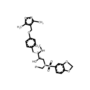 Cc1noc(C)c1COc1ccc(C[C@H](NC(=O)O)[C@H](O)CN(CC(C)C)S(=O)(=O)c2ccc3c(c2)OCO3)cc1